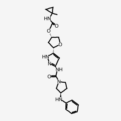 CC1(NC(=O)O[C@@H]2CO[C@H](c3cc(NC(=O)N4CC[C@@H](Nc5ccccc5)C4)n[nH]3)C2)CC1